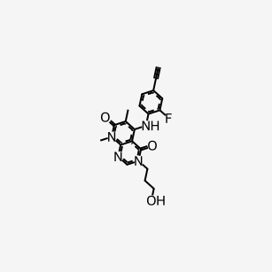 C#Cc1ccc(Nc2c(C)c(=O)n(C)c3ncn(CCCO)c(=O)c23)c(F)c1